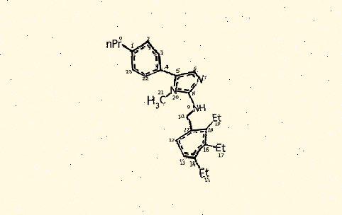 CCCc1ccc(-c2cnc(NCc3ccc(CC)c(CC)c3CC)n2C)cc1